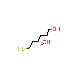 CO.OCCCCCCS